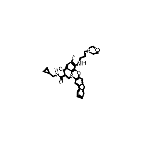 O=C(NCC1CC1)c1cn2c3c(c(NCCCN4CCOCC4)c(F)cc3c1=O)Oc1cc3c(cc1-2)-c1ccccc1C3